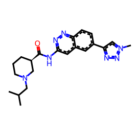 CC(C)CN1CCC[C@@H](C(=O)Nc2cc3cc(-c4cn(C)nn4)ccc3nn2)C1